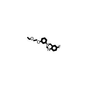 CCOCCOc1cccc(N2C=Nc3ccc(F)cc3C2)c1